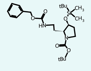 CC(C)(C)OC(=O)N1CC[C@H](O[Si](C)(C)C(C)(C)C)[C@H]1CCNC(=O)OCc1ccccc1